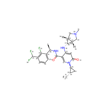 C[C@@H](NC(=O)c1cn([C@H]2C[C@@H]2C(F)(F)F)c(=O)cc1N[C@@H]1[C@@H]2CN(C)C[C@@H]21)c1cccc(C(F)F)c1F